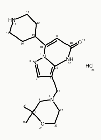 CC1(C)CN(Cc2cnn3c(C4CCNCC4)cc(=O)[nH]c23)CCO1.Cl